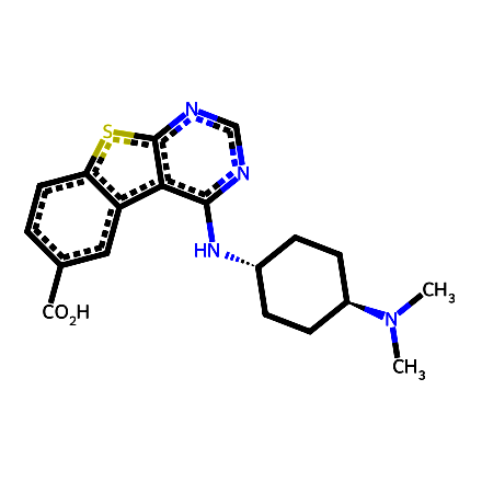 CN(C)[C@H]1CC[C@H](Nc2ncnc3sc4ccc(C(=O)O)cc4c23)CC1